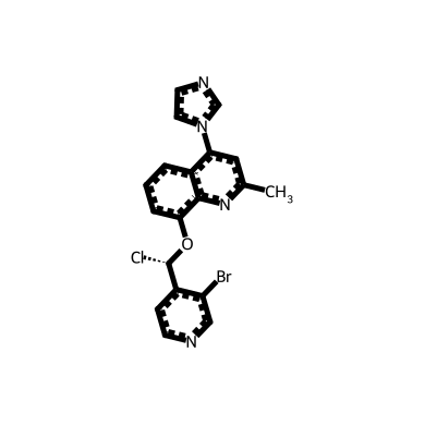 Cc1cc(-n2ccnc2)c2cccc(O[C@@H](Cl)c3ccncc3Br)c2n1